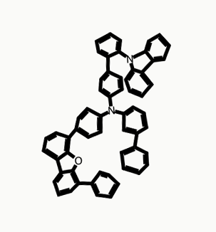 c1ccc(-c2cccc(N(c3ccc(-c4ccccc4-n4c5ccccc5c5ccccc54)cc3)c3ccc(-c4cccc5c4oc4c(-c6ccccc6)cccc45)cc3)c2)cc1